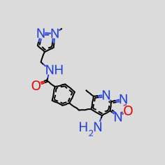 Cc1nc2nonc2c(N)c1Cc1ccc(C(=O)NCc2cnn(C)c2)cc1